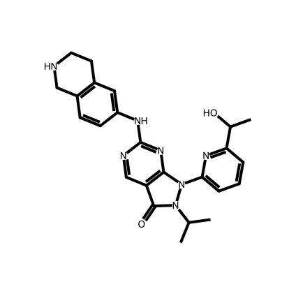 CC(O)c1cccc(-n2c3nc(Nc4ccc5c(c4)CCNC5)ncc3c(=O)n2C(C)C)n1